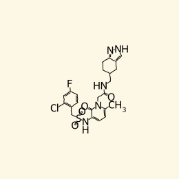 Cc1ccc(NS(=O)(=O)Cc2ccc(F)cc2Cl)c(=O)n1CC(=O)NCC1CCc2n[nH]cc2C1